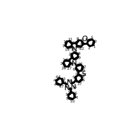 C1=CCC2C(=C1)Oc1cc3c4ccccc4n(-c4ccc5c(c4)c4ccccc4n5-c4ccc5sc6ccc(-c7nc(-c8ccccc8)nc(-c8ccccc8)n7)cc6c5c4)c3cc12